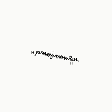 CNC(=O)CCOCCOCCOCCNC(=O)COCCOCCCOC